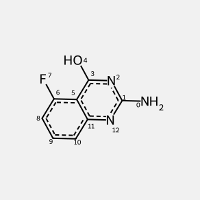 Nc1nc(O)c2c(F)cccc2n1